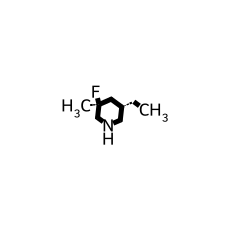 CC[C@@H]1CNC[C@@](C)(F)C1